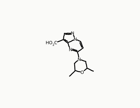 CC1CN(c2ccn3ncc(C(=O)O)c3n2)CC(C)O1